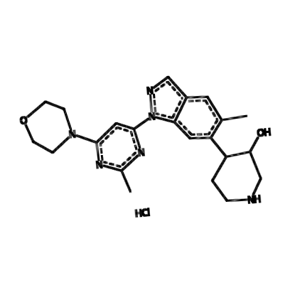 Cc1nc(N2CCOCC2)cc(-n2ncc3cc(C)c(C4CCNCC4O)cc32)n1.Cl